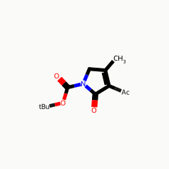 CC(=O)C1=C(C)CN(C(=O)OC(C)(C)C)C1=O